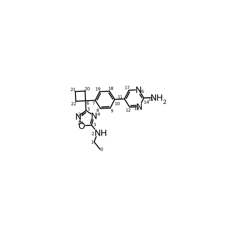 CCNc1nc(C2(c3ccc(-c4cnc(N)nc4)cc3)CCC2)no1